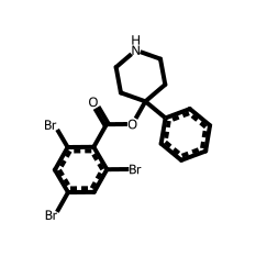 O=C(OC1(c2ccccc2)CCNCC1)c1c(Br)cc(Br)cc1Br